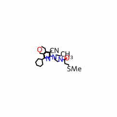 CSCCC(=O)N1CCN(c2nc(C3CCCCC3)c3c(c2C#N)CCOC3)C[C@H]1C